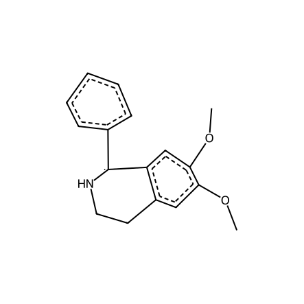 COc1cc2c(cc1OC)[C](c1ccccc1)NCC2